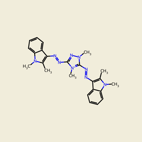 Cc1c(N=Nc2nn(C)c(N=Nc3c(C)n(C)c4ccccc34)[n+]2C)c2ccccc2n1C